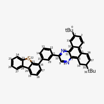 CC(C)(C)c1ccc2c3c(c4ncc(-c5cccc(-c6cccc7c6sc6ccccc67)c5)nc4c2c1)CC(C(C)(C)C)C=C3